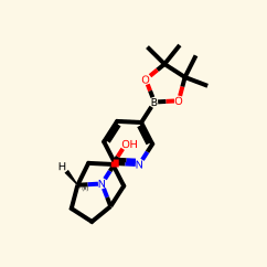 CC1(C)OB(c2ccc(N3C4CC[C@@H]3CC(O)C4)nc2)OC1(C)C